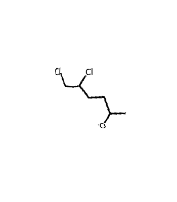 CC([O])CCC(Cl)CCl